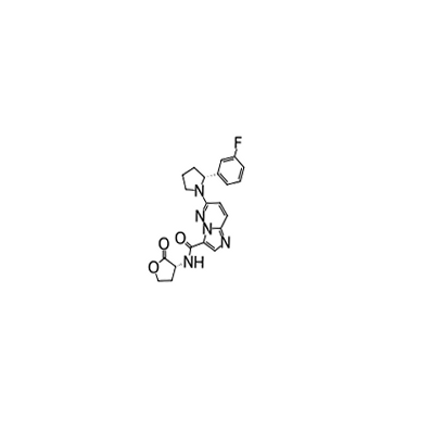 O=C(N[C@@H]1CCOC1=O)c1cnc2ccc(N3CCC[C@@H]3c3cccc(F)c3)nn12